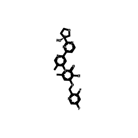 Cc1cnc(-c2ccnc([C@@]3(O)CCOC3)n2)cc1-n1c(C)cc(OCc2ncc(F)cc2F)c(Cl)c1=O